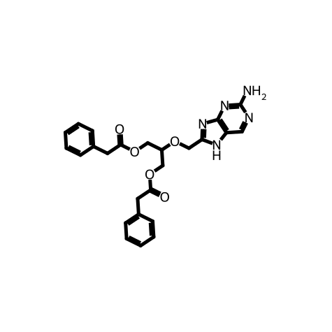 Nc1ncc2[nH]c(COC(COC(=O)Cc3ccccc3)COC(=O)Cc3ccccc3)nc2n1